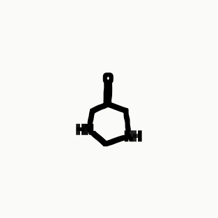 O=C1CNCNC1